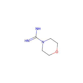 [NH]C(=N)N1CCOCC1